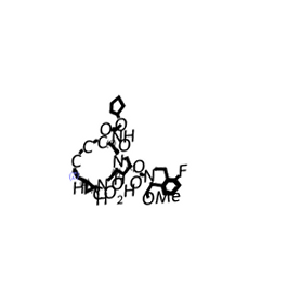 COCC1c2cccc(F)c2CCN1C(=O)O[C@@H]1C[C@H]2C(=O)N[C@]3(C(=O)O)C[C@H]3/C=C\CCCCC[C@H](NC(=O)OC3CCCC3)C(=O)N2C1